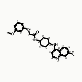 COc1cccc(OCC(=O)NC2CCC(Nc3ccnc4cc(Cl)ccc34)CC2)c1